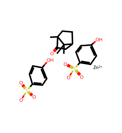 CC12CCC(CC1=O)C2(C)C.O=S(=O)([O-])c1ccc(O)cc1.O=S(=O)([O-])c1ccc(O)cc1.[Zn+2]